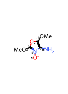 COc1oc(OC)[n+]([O-])c1N